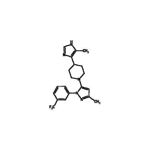 Cc1cc(N2CCC(c3nc[nH]c3C)CC2)n(-c2cccc(C(F)(F)F)c2)n1